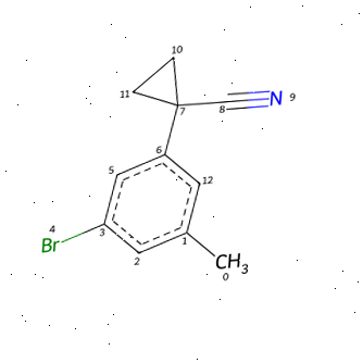 Cc1cc(Br)cc(C2(C#N)CC2)c1